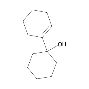 OC1(C2=CCCCC2)CCCCC1